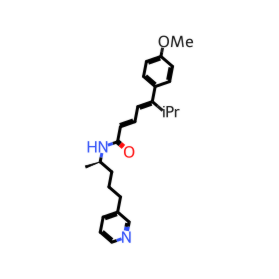 COc1ccc(/C(=C/C=C/C(=O)N[C@H](C)CCCc2cccnc2)C(C)C)cc1